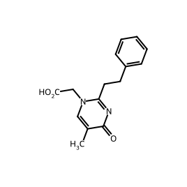 Cc1cn(CC(=O)O)c(CCc2ccccc2)nc1=O